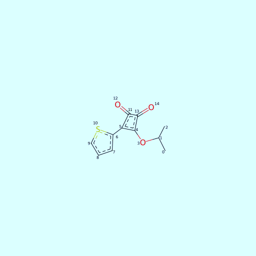 CC(C)Oc1c(-c2cccs2)c(=O)c1=O